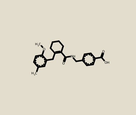 COc1ccc(C)cc1CC1=C(C(=O)NCc2ccc(C(=O)O)cc2)CCCC1